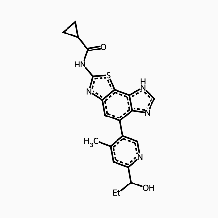 CCC(O)c1cc(C)c(-c2cc3nc(NC(=O)C4CC4)sc3c3[nH]cnc23)cn1